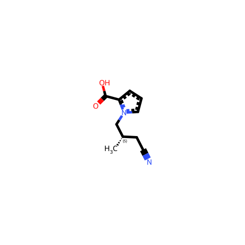 C[C@@H](CC#N)Cn1cccc1C(=O)O